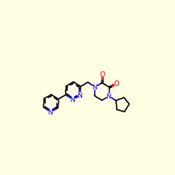 O=C1C(=O)N(C2CCCC2)CCN1Cc1ccc(-c2cccnc2)nn1